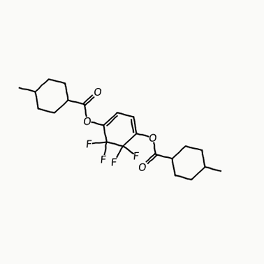 CC1CCC(C(=O)OC2=CC=C(OC(=O)C3CCC(C)CC3)C(F)(F)C2(F)F)CC1